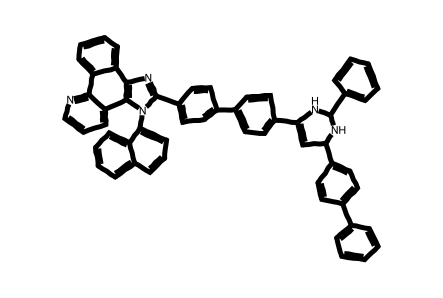 C1=C(c2ccc(-c3ccc(-c4nc5c6ccccc6c6ncccc6c5n4-c4cccc5ccccc45)cc3)cc2)NC(c2ccccc2)NC1c1ccc(-c2ccccc2)cc1